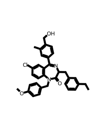 CCc1cccc(CC2N=C(c3ccc(CO)c(C)c3)c3cc(Cl)ccc3N(Cc3ccc(OC)cc3)C2=O)c1